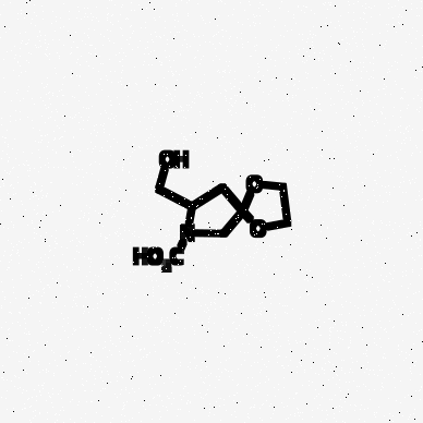 O=C(O)N1CC2(CC1CO)OCCO2